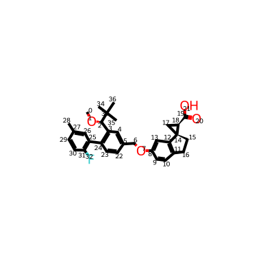 CO[C@H](c1cc(COc2ccc3c(c2)[C@]2(CC3)C[C@H]2C(=O)O)ccc1-c1cc(C)ccc1F)C(C)(C)C